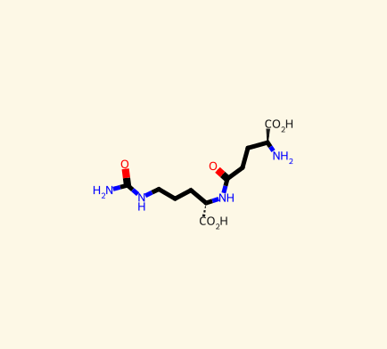 NC(=O)NCCC[C@H](NC(=O)CC[C@H](N)C(=O)O)C(=O)O